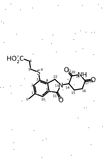 Cc1cc(SCCC(=O)O)c2c(c1)C(=O)N(C1CCC(=O)NC1=O)C2